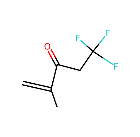 C=C(C)C(=O)CC(F)(F)F